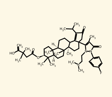 C=C(O)C(C)(C)CC(=O)O[C@H]1CCC2(C)[C@H]3CCC4C5=C(C(C)C)C(=O)CC5(c5c(C)c(=O)n(-c6ccc(F)cc6)n5CCN(C)C)CC[C@@]4(C)C3(C)CC[C@H]2C1(C)C